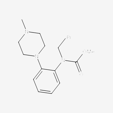 COC(=O)N(CC(C)C)c1ccccc1N1CCN(C)CC1